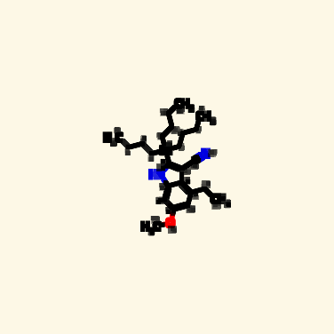 CCC[CH2][Sn]([CH2]CCC)([CH2]CCC)[c]1[nH]c2cc(OC)cc(CC)c2c1C#N